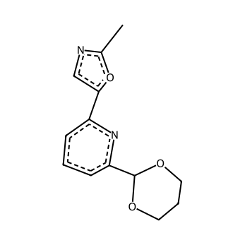 Cc1ncc(-c2cccc(C3OCCCO3)n2)o1